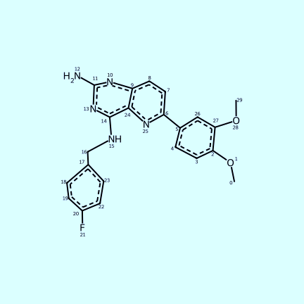 COc1ccc(-c2ccc3nc(N)nc(NCc4ccc(F)cc4)c3n2)cc1OC